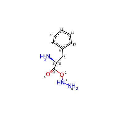 NNOC(=O)[C@@H](N)Cc1ccccc1